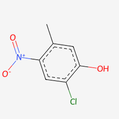 Cc1cc(O)c(Cl)cc1[N+](=O)[O-]